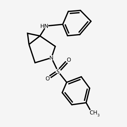 Cc1ccc(S(=O)(=O)N2CC3CC3(Nc3ccccc3)C2)cc1